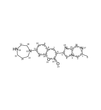 Cc1cn2cc(-c3cc4ccc(N5CCCNCC5)cc4oc3=O)nc2cn1